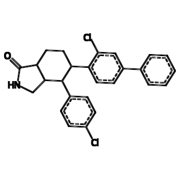 O=C1NCC2C1CCC(c1ccc(-c3ccccc3)cc1Cl)C2c1ccc(Cl)cc1